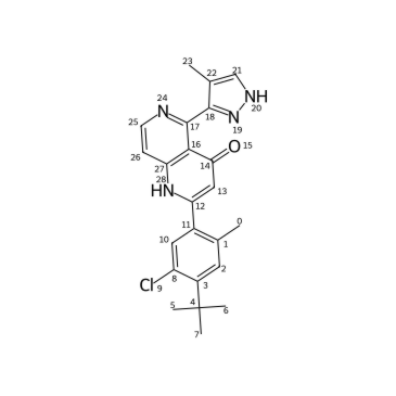 Cc1cc(C(C)(C)C)c(Cl)cc1-c1cc(=O)c2c(-c3n[nH]cc3C)nccc2[nH]1